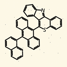 c1ccc2c(-c3c4ccccc4c(-c4sc5ccccc5c5nc6ccccc6c4-5)c4ccccc34)cccc2c1